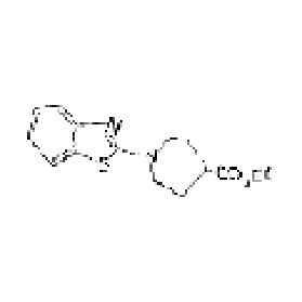 CCOC(=O)C1CCN(c2nc3ccccc3s2)CC1